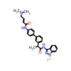 CC(C(=O)Nc1nn(SF)c2ccccc12)c1cccc(-c2ccc(NC(=O)/C=C/CN(C)C)cc2)c1